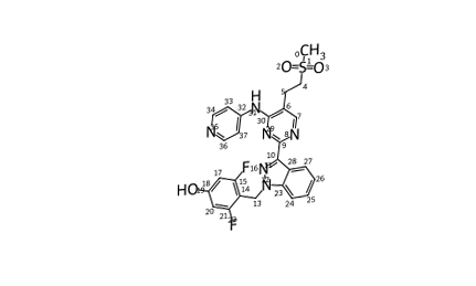 CS(=O)(=O)CCc1cnc(-c2nn(Cc3c(F)cc(O)cc3F)c3ccccc23)nc1Nc1ccncc1